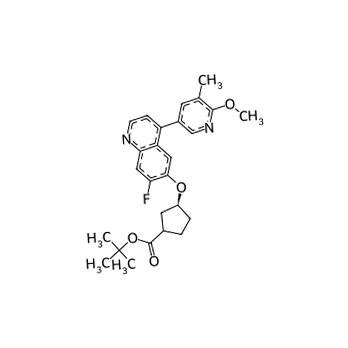 COc1ncc(-c2ccnc3cc(F)c(O[C@H]4CCC(C(=O)OC(C)(C)C)C4)cc23)cc1C